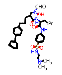 CC(C)CC(NC(=O)C(CCCc1ccc(-c2ccccc2)cc1)CN(O)C=O)C(=O)Nc1ccc(S(=O)(=O)NCCN(C)C)cc1